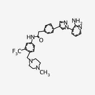 CN1CCN(Cc2ccc(NC(=O)Cc3ccc(-c4cnn(-c5cccnc5N)c4)cc3)cc2C(F)(F)F)CC1